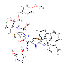 COc1ccc(COC(=O)C2=C(CCl)CS[C@H]3[C@H](NC(=O)/C(=N\O[C@H]4CCNC4=O)c4csc(NC(c5ccccc5)(c5ccccc5)c5ccccc5)n4)C(=O)N23)cc1